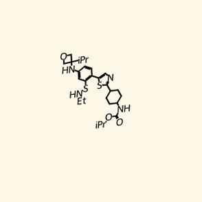 CCNSc1cc(NC2(C(C)C)COC2)ccc1-c1cnc(C2CCC(NC(=O)OC(C)C)CC2)s1